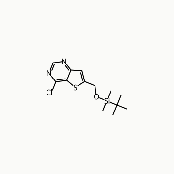 CC(C)(C)[Si](C)(C)OCc1cc2ncnc(Cl)c2s1